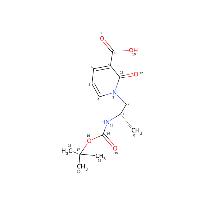 C[C@@H](Cn1cccc(C(=O)O)c1=O)NC(=O)OC(C)(C)C